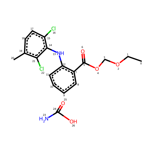 CCOCOC(=O)c1ccccc1Nc1c(Cl)ccc(C)c1Cl.NC(=O)O